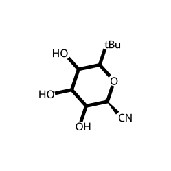 CC(C)(C)C1O[C@@H](C#N)C(O)C(O)C1O